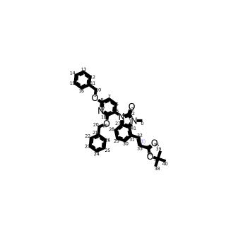 Cn1c(=O)n(-c2ccc(OCc3ccccc3)nc2OCc2ccccc2)c2cccc(/C=C/C(=O)OC(C)(C)C)c21